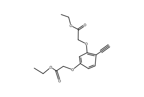 C#Cc1ccc(OCC(=O)OCC)cc1OCC(=O)OCC